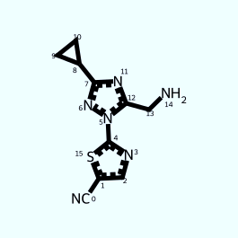 N#Cc1cnc(-n2nc(C3CC3)nc2CN)s1